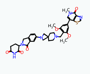 COc1cc(-c2cn(C)c(=O)c3ncsc23)cc(OC)c1CN1CCC2(CC1)CN(c1ccc3c(c1)C(=O)N(C1CCC(=O)NC1=O)C3)C2